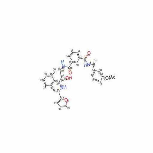 COc1cccc([C@@H](C)NC(=O)c2cccc(C(=O)N[C@@H](Cc3ccccc3)[C@H](O)CNC(C)c3ccco3)c2)c1